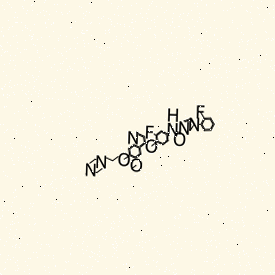 COc1cc2c(Oc3ccc(NC(=O)N4C=CN(c5ccccc5F)C4)cc3F)ccnc2cc1OCCCN1CCN(C)CC1